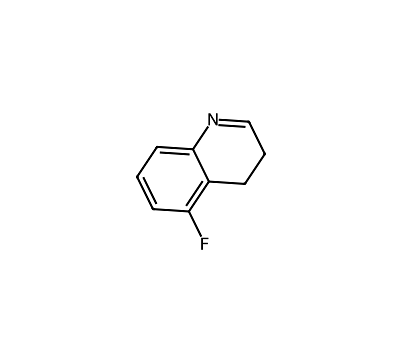 Fc1cccc2c1CCC=N2